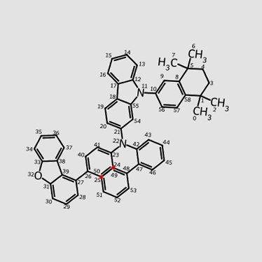 CC1(C)CCC(C)(C)c2cc(-n3c4ccccc4c4ccc(N(c5ccc(-c6cccc7oc8ccccc8c67)cc5)c5ccccc5-c5ccccc5)cc43)ccc21